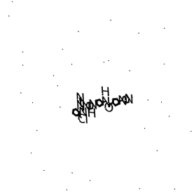 CN1CCN(c2ccc(C(=O)Nc3ccc(N4CCN(/C(=N\C#N)Nc5ccccc5Cl)CC4)cc3)cc2)CC1